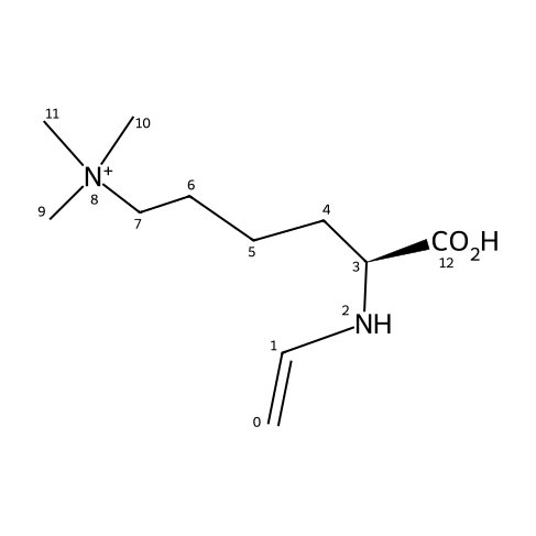 C=CN[C@@H](CCCC[N+](C)(C)C)C(=O)O